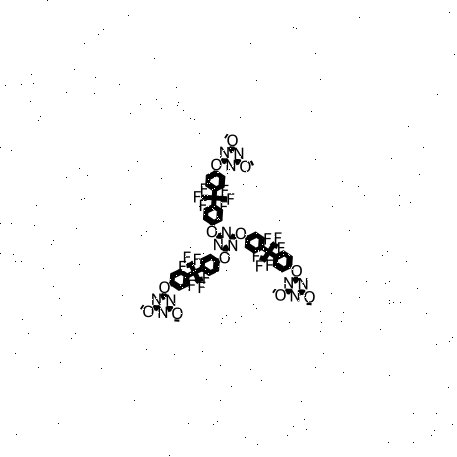 COc1nc(OC)nc(Oc2ccc(C(c3ccc(Oc4nc(Oc5ccc(C(c6ccc(Oc7nc(OC)nc(OC)n7)cc6)(C(F)(F)F)C(F)(F)F)cc5)nc(Oc5ccc(C(c6ccc(Oc7nc(OC)nc(OC)n7)cc6)(C(F)(F)F)C(F)(F)F)cc5)n4)cc3)(C(F)(F)F)C(F)(F)F)cc2)n1